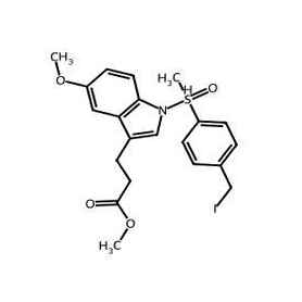 COC(=O)CCc1cn([SH](C)(=O)c2ccc(CI)cc2)c2ccc(OC)cc12